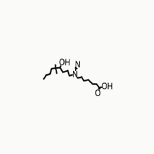 CCCCC(C)(C)C(O)CCCN(C#N)CCCCCCC(=O)O